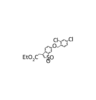 CCOC(=O)CC1=CS(=O)(=O)c2cc(OCc3ccc(Cl)cc3Cl)ccc21